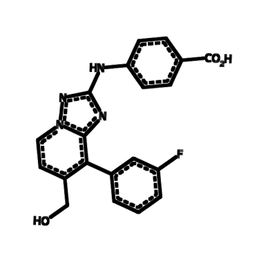 O=C(O)c1ccc(Nc2nc3c(-c4cccc(F)c4)c(CO)ccn3n2)cc1